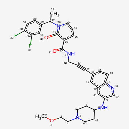 COCCN1CCC(Nc2cnc3ccc(C#CCNC(=O)c4cccn([C@@H](C)c5ccc(F)c(F)c5)c4=O)cc3c2)CC1